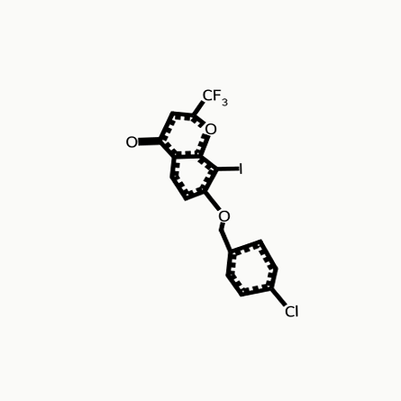 O=c1cc(C(F)(F)F)oc2c(I)c(OCc3ccc(Cl)cc3)ccc12